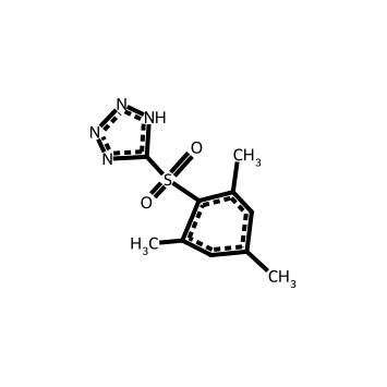 Cc1cc(C)c(S(=O)(=O)c2nnn[nH]2)c(C)c1